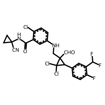 N#CC1(NC(=O)c2cc(NCC3(C=O)C(c4ccc(F)c(C(F)F)c4)C3(Cl)Cl)ccc2Cl)CC1